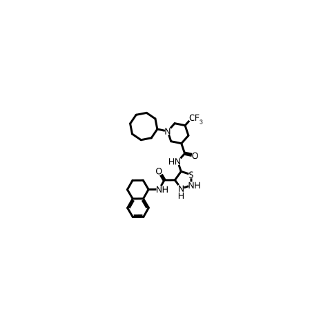 O=C(NC1SNNC1C(=O)NC1CCCc2ccccc21)C1CC(C(F)(F)F)CN(C2CCCCCCC2)C1